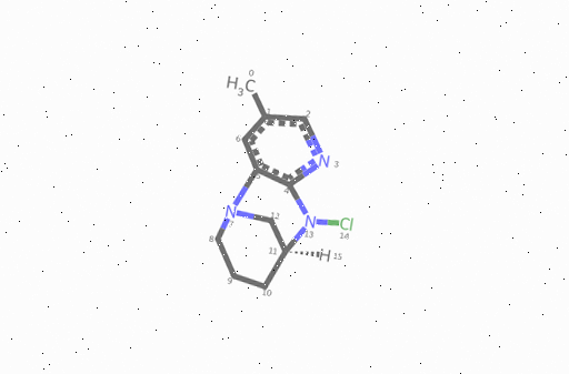 Cc1cnc2c(c1)N1CCC[C@@H](C1)N2Cl